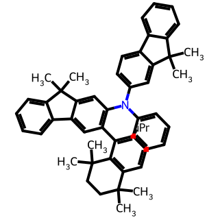 CC(C)c1ccc2c(c1-c1cc3c(cc1N(c1ccccc1)c1ccc4c(c1)C(C)(C)c1ccccc1-4)C(C)(C)c1ccccc1-3)C(C)(C)CCC2(C)C